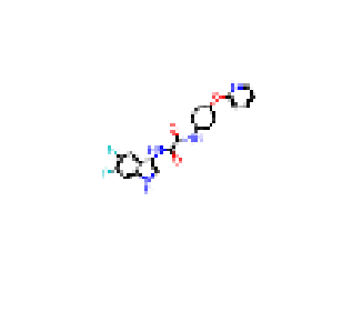 O=C(Nc1c[nH]c2cc(F)c(F)cc12)C(=O)NC1CCC(Oc2ccccn2)CC1